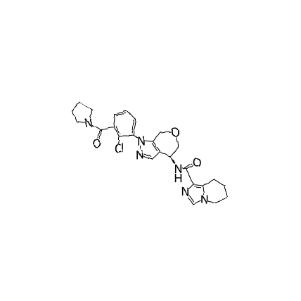 O=C(N[C@@H]1COCc2c1cnn2-c1cccc(C(=O)N2CCCC2)c1Cl)c1ncn2c1CCCC2